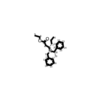 CCC[C@@H](CC(=O)OCC)N(Cc1ccccc1)[C@@H](C)c1ccccc1